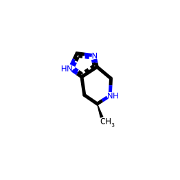 C[C@H]1Cc2[nH]cnc2CN1